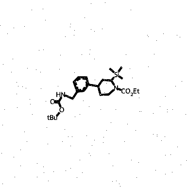 CCOC(=O)N1CCC(c2cccc(CNC(=O)OC(C)(C)C)c2)CC1[Si](C)(C)C